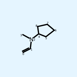 C=CN(C)C1CCCC1